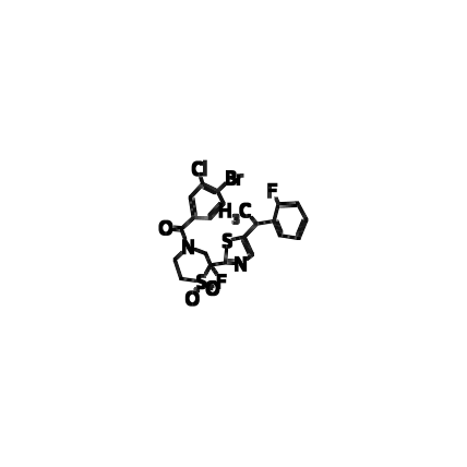 CC(c1cnc(C2(F)CN(C(=O)c3ccc(Br)c(Cl)c3)CCS2(=O)=O)s1)c1ccccc1F